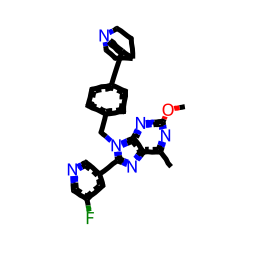 COc1nc(C)c2nc(-c3cncc(F)c3)n(Cc3ccc(C4=CN5CCC4CC5)cc3)c2n1